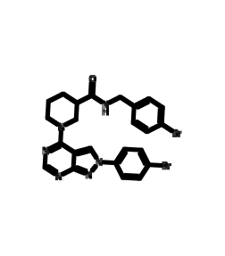 O=C(NCc1ccc(Br)cc1)C1CCCN(c2ncnc3nn(-c4ccc(Br)cc4)cc23)C1